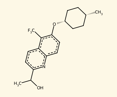 CC(O)c1ccc2c(C(F)(F)F)c(O[C@H]3CC[C@@H](C)CC3)ccc2n1